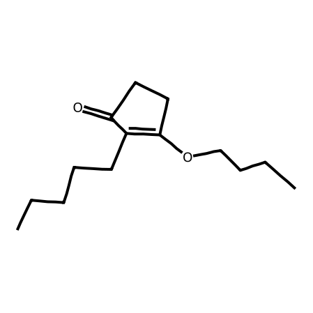 CCCCCC1=C(OCCCC)CCC1=O